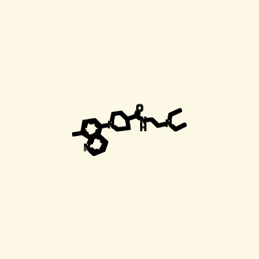 CCN(CC)CCNC(=O)C1CCN(c2ccc(C)c3ncccc23)CC1